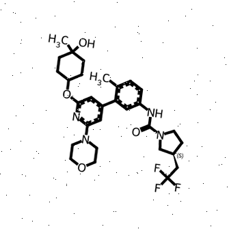 Cc1ccc(NC(=O)N2CC[C@@H](CC(F)(F)F)C2)cc1-c1cc(OC2CCC(C)(O)CC2)nc(N2CCOCC2)c1